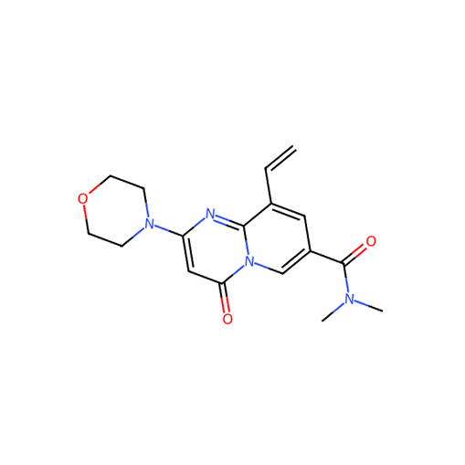 C=Cc1cc(C(=O)N(C)C)cn2c(=O)cc(N3CCOCC3)nc12